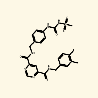 Cc1cc(CNC(=O)c2cc(C(=O)NCc3ccc(NC(=O)NS(C)(=O)=O)cc3)ncn2)ccc1F